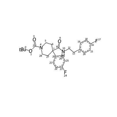 CC(C)(C)OC(=O)N1CCC(C(=O)NCCc2ccc(F)cc2)(c2ccc(F)cc2)CC1